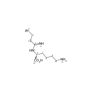 CC(C)CSC(=N)N[C@@H](CCCCN)C(=O)O